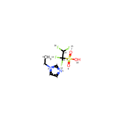 CCn1ccnc1.O=S(=O)(O)C(F)(F)C(F)F